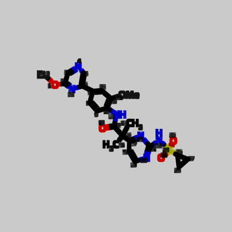 CCOc1cncc(-c2ccc(NC(=O)C(C)(C)c3ccnc(NS(=O)(=O)C4CC4)n3)c(OC)c2)n1